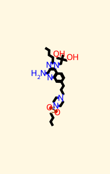 CCCCc1nc2c(N)nc3cc(CCCN4CCN(S(=O)(=O)CCCC)CC4)ccc3c2n1CC(C)(CO)CO